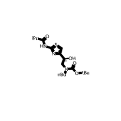 CCCCN(C[C@H](O)c1csc(NC(=O)C(C)C)n1)C(=O)OC(C)(C)C